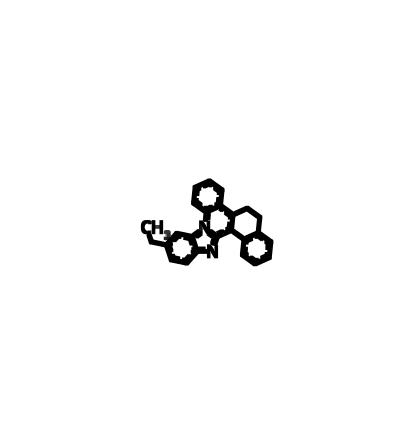 CCc1ccc2nc3c4c(c5ccccc5n3c2c1)CCc1ccccc1-4